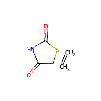 C=C.O=C1CSC(=O)N1